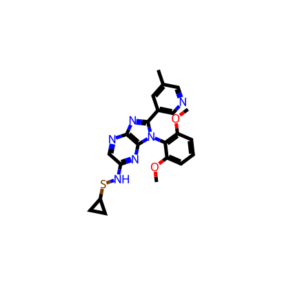 COc1cccc(OC)c1-n1c(-c2cncc(C)c2)nc2ncc(NSC3CC3)nc21